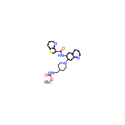 CC(C)(C)OC(=O)NCC1CCN(c2cc3ncccc3cc2NC(=O)c2csc3cccnc23)CC1